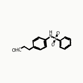 O=CCCc1ccc(NS(=O)(=O)c2ccccc2)cc1